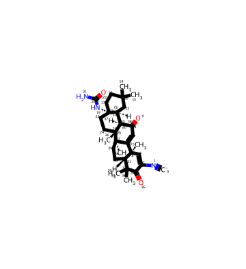 [C-]#[N+]C1=C[C@]2(C)C3=CC(=O)[C@@H]4[C@@H]5CC(C)(C)CC[C@]5(NC(N)=O)CC[C@@]4(C)[C@]3(C)CC[C@H]2C(C)(C)C1=O